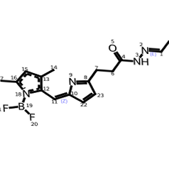 C/C=N/NC(=O)CCC1=N/C(=C\c2c(C)cc(C)n2B(F)F)C=C1